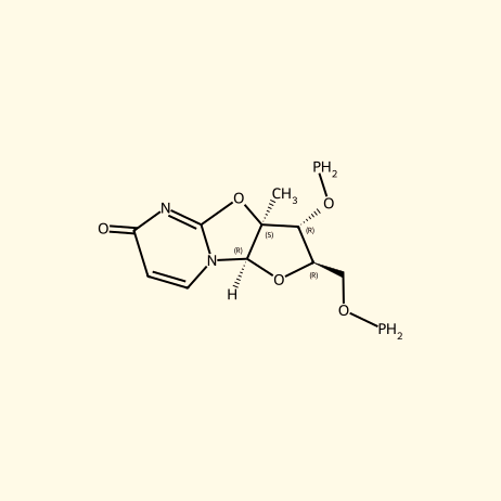 C[C@@]12Oc3nc(=O)ccn3[C@@H]1O[C@H](COP)[C@H]2OP